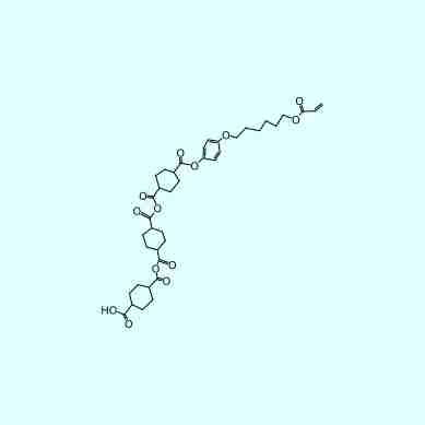 C=CC(=O)OCCCCCCOc1ccc(OC(=O)C2CCC(C(=O)OC(=O)C3CCC(C(=O)OC(=O)C4CCC(C(=O)O)CC4)CC3)CC2)cc1